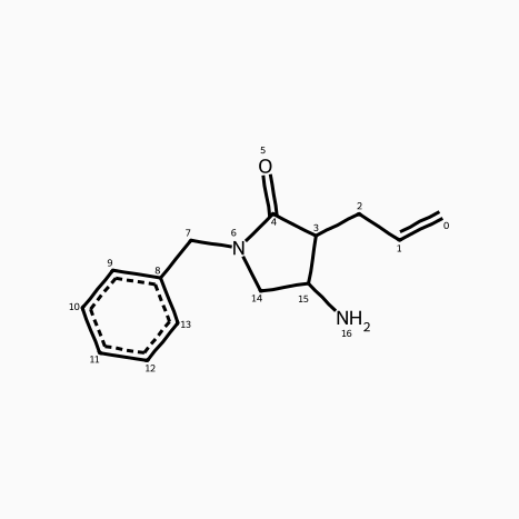 C=CCC1C(=O)N(Cc2ccccc2)CC1N